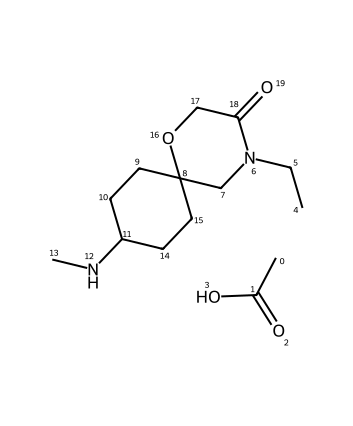 CC(=O)O.CCN1CC2(CCC(NC)CC2)OCC1=O